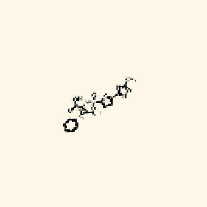 Cc1nc(-c2ccc(S(=O)(=O)N[C@@]3(C(=O)O)C(C)[C@@H]3c3ccccc3)s2)no1